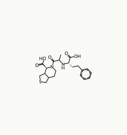 CC(N[C@@H](CCc1ccccc1)C(=O)O)C(=O)N1CCC2CSCC2[C@H]1C(=O)O